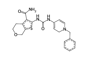 NC(=O)c1c(NC(=O)NC2=CCN(Cc3ccccc3)C=C2)sc2c1CCOC2